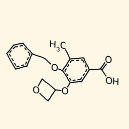 Cc1cc(C(=O)O)cc(OC2COC2)c1OCc1ccccc1